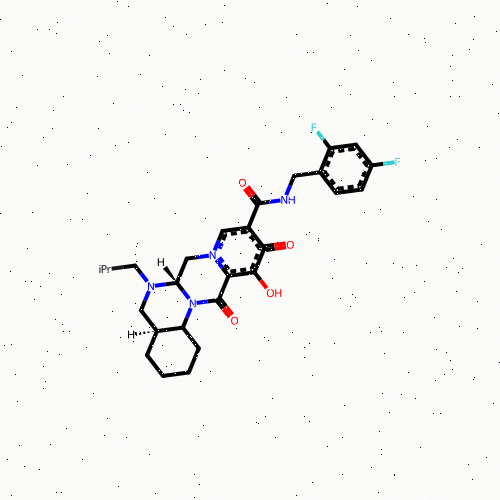 CC(C)CN1C[C@@H]2CCCCC2N2C(=O)c3c(O)c(=O)c(C(=O)NCc4ccc(F)cc4F)cn3C[C@@H]12